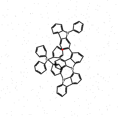 c1ccc(-n2c3ccccc3c3ccc(-c4cccc5c4c4ccccc4n5-c4cccc5c6ccccc6n(-c6ccc([Si](c7ccccc7)(c7ccccc7)c7ccccc7)cc6)c45)cc32)cc1